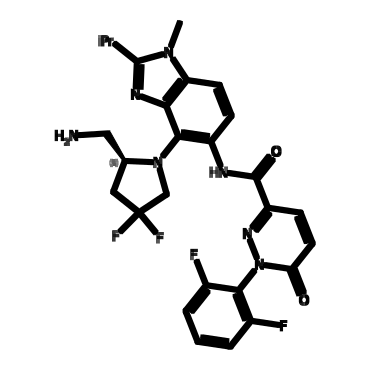 CC(C)c1nc2c(N3CC(F)(F)C[C@H]3CN)c(NC(=O)c3ccc(=O)n(-c4c(F)cccc4F)n3)ccc2n1C